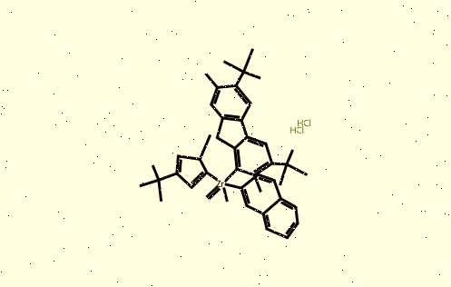 Cl.Cl.[CH2]=[Zr]([CH3])([C]1=CC(C(C)(C)C)=CC1C)([c]1ccc2ccccc2c1)[c]1c(C)c(C(C)(C)C)cc2c1Cc1cc(C)c(C(C)(C)C)cc1-2